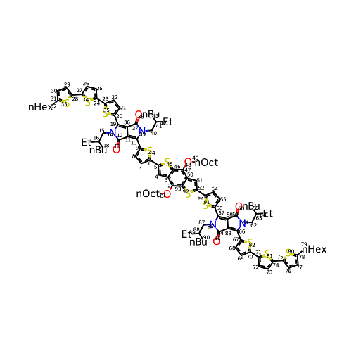 CCCCCCCCOc1c2cc(-c3ccc(C4=C5C(=O)N(CC(CC)CCCC)C(c6ccc(-c7ccc(-c8ccc(CCCCCC)s8)s7)s6)=C5C(=O)N4CC(CC)CCCC)s3)sc2c(OCCCCCCCC)c2cc(-c3ccc(C4=C5C(=O)N(CC(CC)CCCC)C(c6ccc(-c7ccc(-c8ccc(CCCCCC)s8)s7)s6)=C5C(=O)N4CC(CC)CCCC)s3)sc12